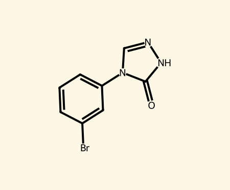 O=c1[nH]ncn1-c1cccc(Br)c1